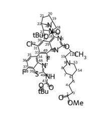 COC(=O)CCCC1CCN(CC(C)Oc2nc(N3CC4CCC(C3)N4C(=O)OC(C)(C)C)c3cc(Cl)c(-c4ccc(F)c5sc(NC(=O)OC(C)(C)C)nc45)c(F)c3n2)CC1